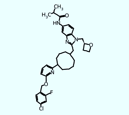 CC(C)C(=O)Nc1ccc2c(c1)nc(CC1CCCCC(c3cccc(OCc4ccc(Cl)cc4F)n3)CCC1)n2C[C@@H]1CCO1